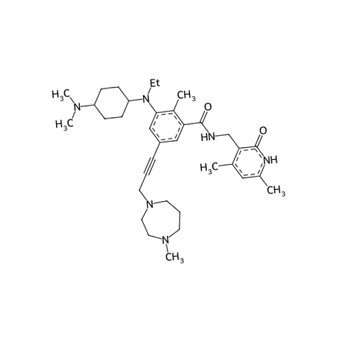 CCN(c1cc(C#CCN2CCCN(C)CC2)cc(C(=O)NCc2c(C)cc(C)[nH]c2=O)c1C)C1CCC(N(C)C)CC1